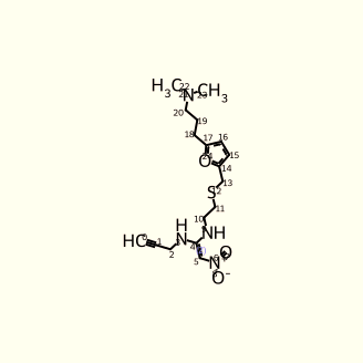 C#CCN/C(=C/[N+](=O)[O-])NCCSCc1ccc(CCCN(C)C)o1